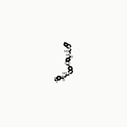 O=C(NC[C@H](O)CN1CCc2ccccc2C1)c1ccc2c(c1)OC(c1ccc3c(c1)CN(C[C@@H](O)CNC(=O)c1ccc4ncsc4c1)CC3)CO2